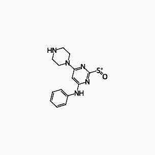 O=[S+]c1nc(Nc2ccccc2)cc(N2CCNCC2)n1